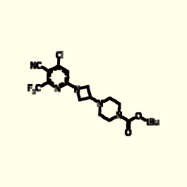 CC(C)(C)OC(=O)N1CCN(C2CN(c3cc(Cl)c(C#N)c(C(F)(F)F)n3)C2)CC1